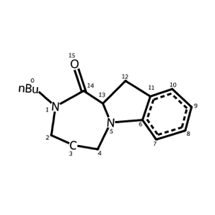 CCCCN1CCCN2c3ccccc3CC2C1=O